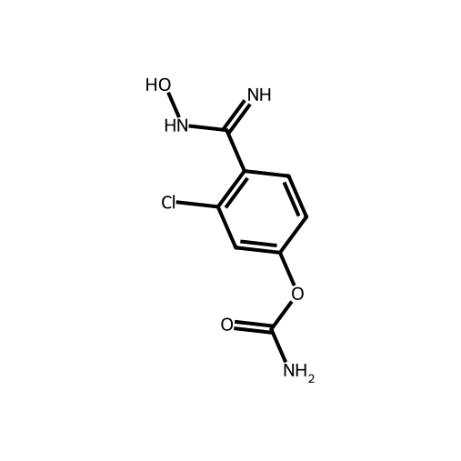 N=C(NO)c1ccc(OC(N)=O)cc1Cl